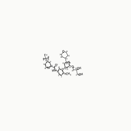 Cc1ccc(NC(=O)c2cc(C(F)(F)F)ccn2)cc1-c1cc(OC[C@@H](O)CO)nc(C2CCOCC2)c1